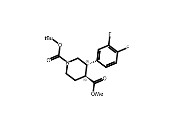 COC(=O)[C@H]1CCN(C(=O)OC(C)(C)C)C[C@@H]1c1ccc(F)c(F)c1